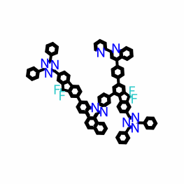 FC1(F)c2cc(-c3ccc4c5ccc6ccccc6c5c5nc6cc(-c7cc(-c8ccc(-c9cc(-c%10ccccn%10)nc%10ccccc9%10)cc8)cc8c7-c7ccc(-c9nc(-c%10ccccc%10)nc(-c%10ccccc%10)n9)cc7C8(F)F)ccc6n5c4c3)ccc2-c2ccc(-c3nc(-c4ccccc4)nc(-c4ccccc4)n3)cc21